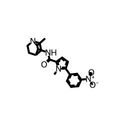 CC1C(NC(=O)c2ccc(-c3cccc([N+](=O)[O-])c3)n2C)C2CCN1CC2